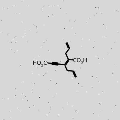 C=CCC(C#CC(=O)O)=C(CC=C)C(=O)O